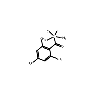 Cc1cc(C)c([C](=O)[Cr]([NH2])([Cl])([Cl])[Cl])c(C)c1